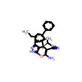 CCc1cc(-c2ccccc2)cc([C@]2(C(C)C)C(C#N)=C(N)Oc3[nH]nc(C)c32)c1